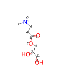 CN(C)CCC(=O)OCC(O)CO